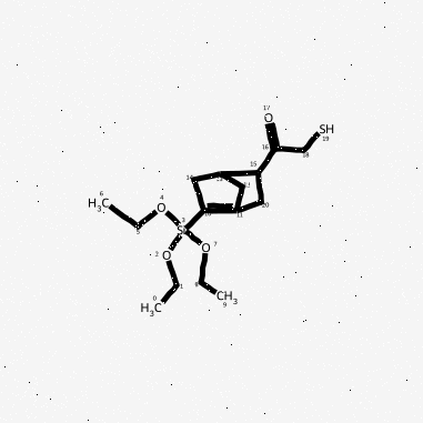 CCO[Si](OCC)(OCC)C1=C2CC(C1)C(C(=O)CS)C2